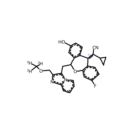 [2H]C([2H])([2H])OCc1nc2ccccn2c1CC1Oc2cc(F)ccc2/C(=C(/C#N)C2CC2)c2ccc(O)cc21